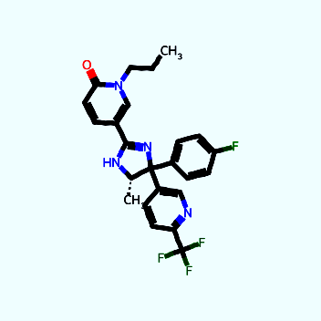 CCCn1cc(C2=NC(c3ccc(F)cc3)(c3ccc(C(F)(F)F)nc3)[C@H](C)N2)ccc1=O